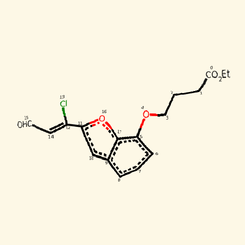 CCOC(=O)CCCOc1cccc2cc(/C(Cl)=C/C=O)oc12